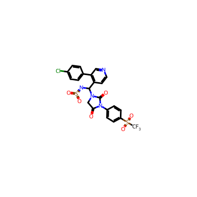 O=C1CN(C(N=S(=O)=O)c2ccncc2-c2ccc(Cl)cc2)C(=O)N1c1ccc(S(=O)(=O)C(F)(F)F)cc1